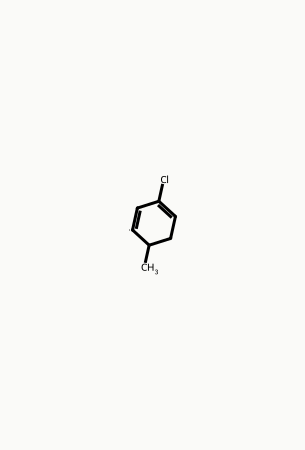 CC1[C]=CC(Cl)=CC1